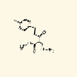 Cc1ccc(CCC(=O)C(COP)C(=O)OP)cc1